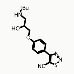 CC(C)(C)NCC(O)COc1ccc(-c2nnsc2C#N)cc1